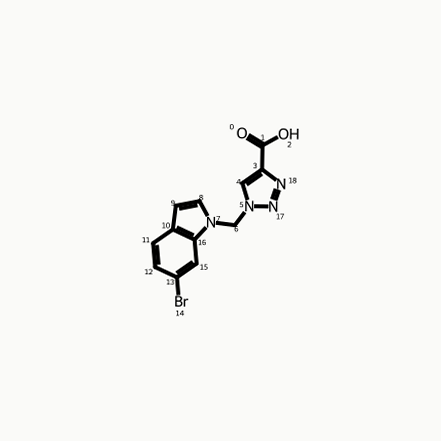 O=C(O)c1cn(Cn2ccc3ccc(Br)cc32)nn1